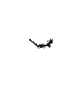 COc1cc(C=CC(=O)Oc2c(C)c(C)c3c(c2C)CC[C@@](C)(CC/C=C(\C)CC/C=C(\C)CCC=C(C)C)O3)ccc1OC(=O)c1cccnc1